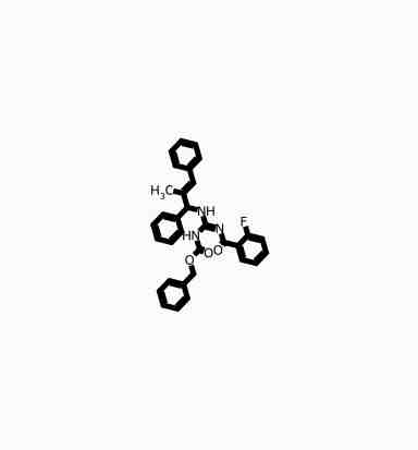 C/C(=C\c1ccccc1)C(N/C(=N/C(=O)c1ccccc1F)NC(=O)OCc1ccccc1)c1ccccc1